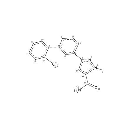 Cn1nc(-c2cccc(-c3ccccc3C(F)(F)F)c2)cc1C(N)=O